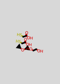 C1CC1OC1CC1.O=C(O)CS.O=C(O)CS.OCCO